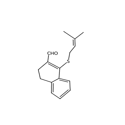 CC(C)=CCSC1=C(C=O)CCc2ccccc21